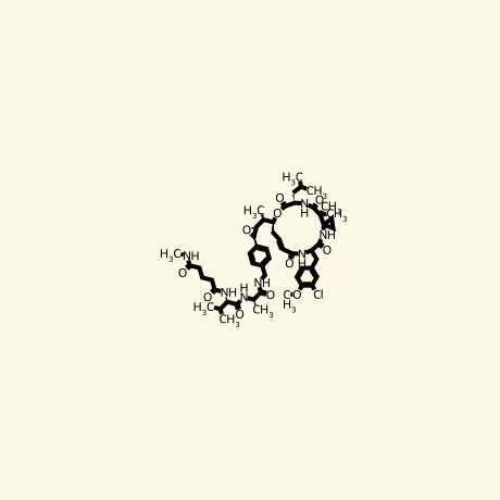 CNC(=O)CCCC(=O)N[C@H](C(=O)N[C@@H](C)C(=O)NCc1ccc([C@H]2O[C@@H]2[C@@H](C)[C@@H]2C/C=C/C(=O)NC(Cc3ccc(OC)c(Cl)c3)C(=O)NC3(CC3)C(C)(C)C(=O)N[C@@H](CC(C)C)C(=O)O2)cc1)C(C)C